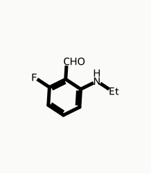 CCNc1cccc(F)c1C=O